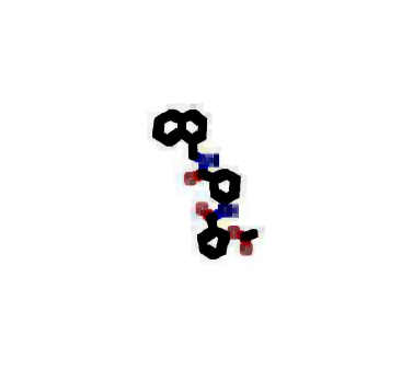 CC(=O)Oc1ccccc1C(=O)Nc1cccc(C(=O)NCc2cccc3ccccc23)c1